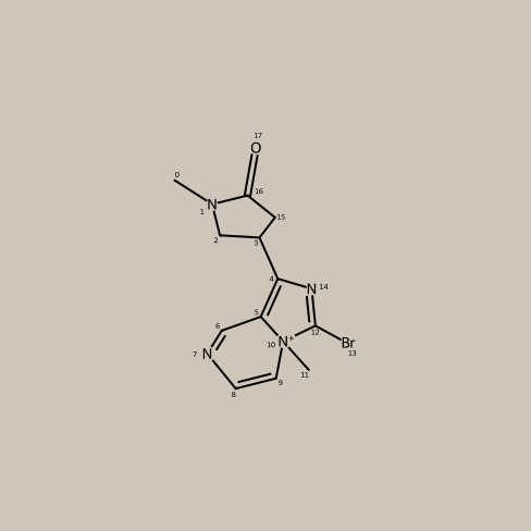 CN1CC(C2=C3C=NC=C[N+]3(C)C(Br)=N2)CC1=O